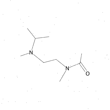 CC(=O)N(C)CCN(C)C(C)C